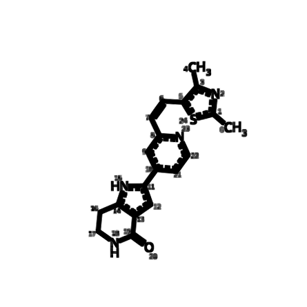 Cc1nc(C)c(/C=C\c2cc(-c3cc4c([nH]3)CCNC4=O)ccn2)s1